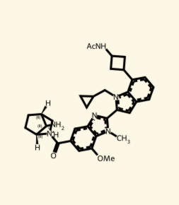 COc1cc(C(=O)N2C[C@H]3CC[C@@H]2[C@@H]3N)cc2nc(-c3cc4cccc(C5CC(NC(C)=O)C5)c4n3CC3CC3)n(C)c12